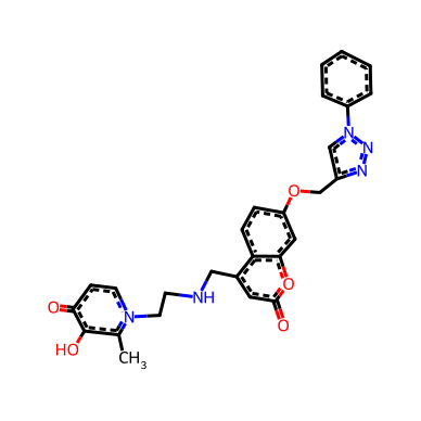 Cc1c(O)c(=O)ccn1CCNCc1cc(=O)oc2cc(OCc3cn(-c4ccccc4)nn3)ccc12